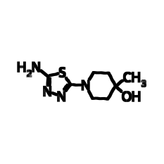 CC1(O)CCN(c2nnc(N)s2)CC1